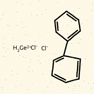 [Cl-].[Cl-].[GeH2+2].c1ccc(-c2ccccc2)cc1